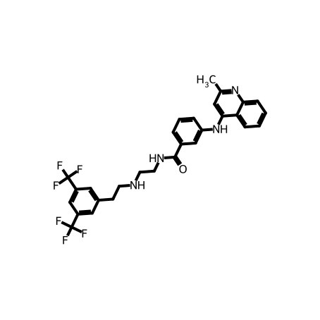 Cc1cc(Nc2cccc(C(=O)NCCNCCc3cc(C(F)(F)F)cc(C(F)(F)F)c3)c2)c2ccccc2n1